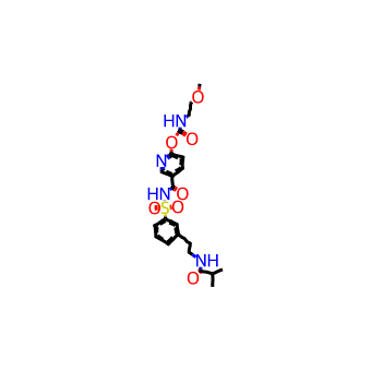 COCCNC(=O)Oc1ccc(C(=O)NS(=O)(=O)c2cccc(CCNC(=O)C(C)C)c2)cn1